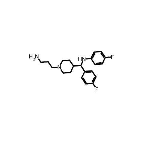 NCCCN1CCC(C(Nc2ccc(F)cc2)c2ccc(F)cc2)CC1